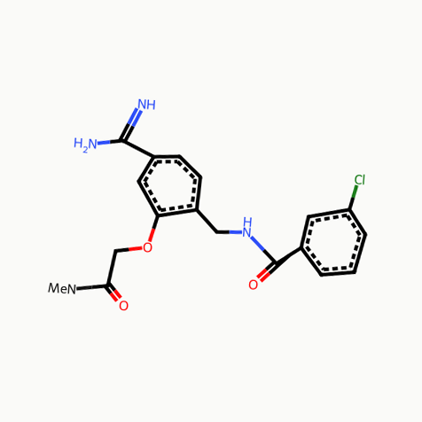 CNC(=O)COc1cc(C(=N)N)ccc1CNC(=O)c1cccc(Cl)c1